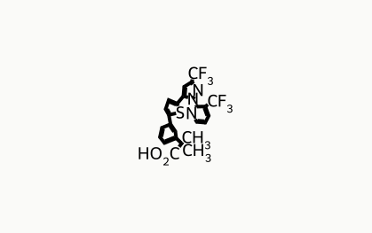 CC(C)(C(=O)O)c1cccc(-c2ccc(-c3cc(C(F)(F)F)nn3-c3ncccc3C(F)(F)F)s2)c1